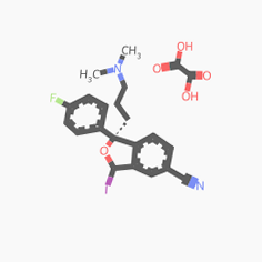 CN(C)CCC[C@@]1(c2ccc(F)cc2)OC(I)c2cc(C#N)ccc21.O=C(O)C(=O)O